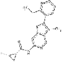 CCc1ncccc1-c1cc2cc(NC(=O)[C@@H]3C[C@@H]3F)ncc2n1C